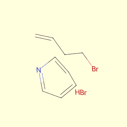 Br.C=CCCBr.c1ccncc1